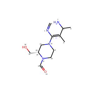 C=N/C(=C(/C)C(C)N)N1CCN(C=O)[C@H](CO)C1